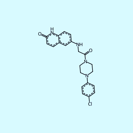 O=C(CNc1ccc2[nH]c(=O)ccc2c1)N1CCN(c2ccc(Cl)cc2)CC1